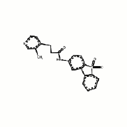 Cc1cnccc1CCC(=O)Nc1ccc2c(c1)-c1ccccc1S2(=O)=O